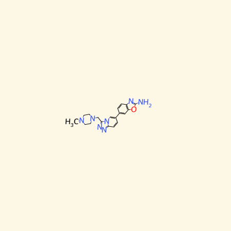 CN1CCN(Cc2nnc3ccc(-c4ccc5nc(N)oc5c4)cn23)CC1